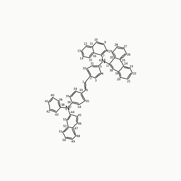 C(=C\c1ccc(N(c2cccc3ccccc23)c2cc3ccccc3c3ccccc23)cc1)/c1ccc(N(c2ccccc2)c2ccc3ccccc3c2)cc1